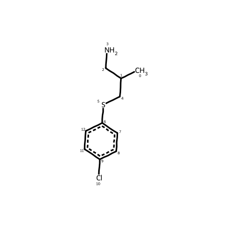 CC(CN)CSc1ccc(Cl)cc1